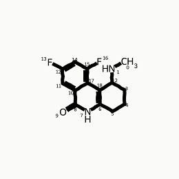 CNC1CCCc2[nH]c(=O)c3cc(F)cc(F)c3c21